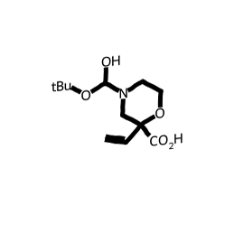 C=CC1(C(=O)O)CN(C(O)OC(C)(C)C)CCO1